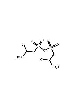 O=C(O)C(Cl)CS(=O)(=O)OS(=O)(=O)CC(Cl)C(=O)O